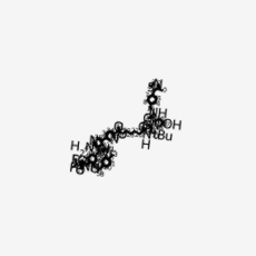 Cc1ncsc1-c1ccc(CNC(=O)[C@@H]2C[C@@H](O)CN2C(=O)[C@@H](NC(=O)CCCCOC(=O)c2ccc(-c3cnc(N)c4c(-c5ccc(NS(=O)(=O)C(F)F)c(O[C@@H](C)c6ccc(F)cc6)c5)nn(C)c34)cn2)C(C)(C)C)cc1